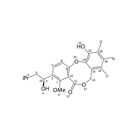 COc1c([C@@H](O)CC(C)C)ccc2c1C(=O)OCc1c(C)c(C)c(C)c(O)c1O2